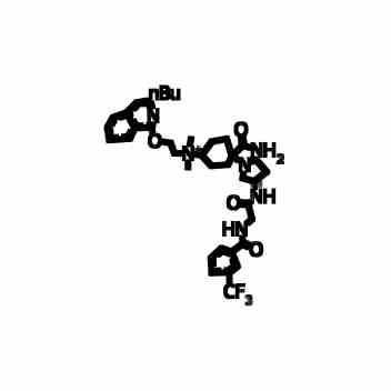 CCCCc1cc2ccccc2c(OCC[N+](C)(C)C2CCC(C(N)=O)(N3CC[C@@H](NC(=O)CNC(=O)c4cccc(C(F)(F)F)c4)C3)CC2)n1